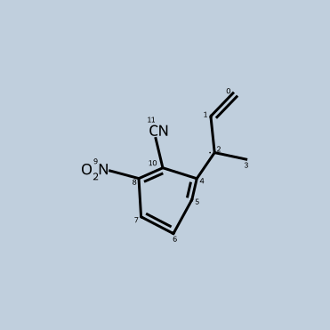 C=C[C](C)c1cccc([N+](=O)[O-])c1C#N